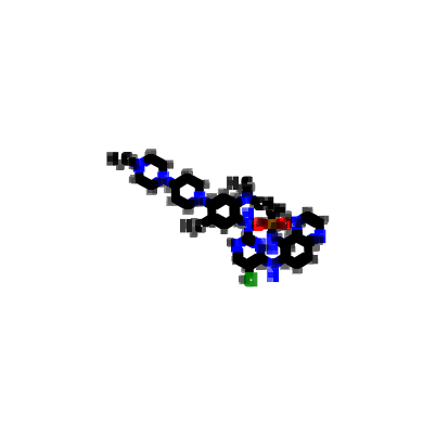 Cc1cc(Nc2ncc(Cl)c(Nc3ccc4nccnc4c3NS(C)(=O)=O)n2)c(N(C)C)cc1N1CCC(N2CCN(C)CC2)CC1